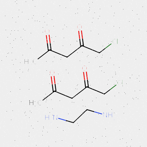 CC(=O)CC(=O)CCl.CC(=O)CC(=O)CCl.NCCN